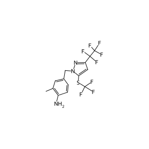 Cc1cc(Cn2nc(C(F)(F)C(F)(F)F)cc2SC(F)(F)F)ccc1N